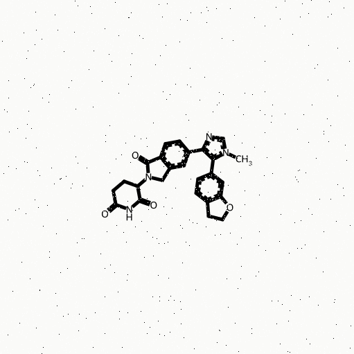 Cn1cnc(-c2ccc3c(c2)CN(C2CCC(=O)NC2=O)C3=O)c1-c1ccc2c(c1)OCC2